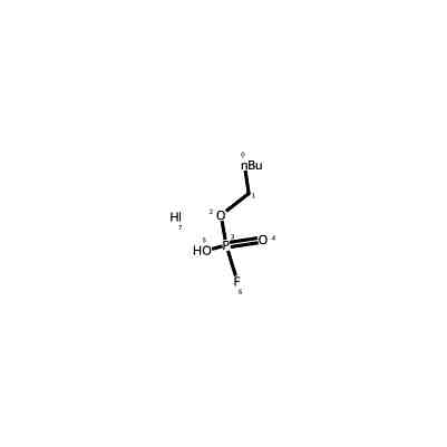 CCCCCOP(=O)(O)F.I